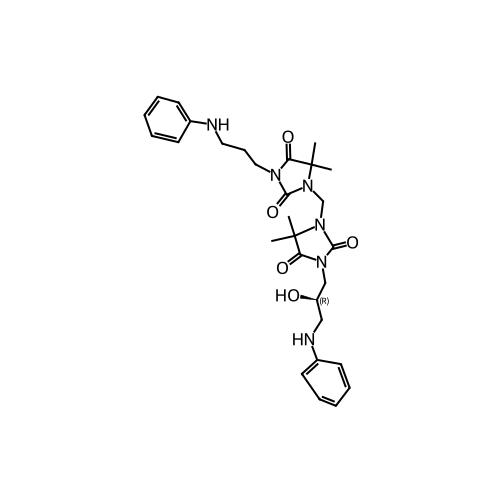 CC1(C)C(=O)N(CCCNc2ccccc2)C(=O)N1CN1C(=O)N(C[C@H](O)CNc2ccccc2)C(=O)C1(C)C